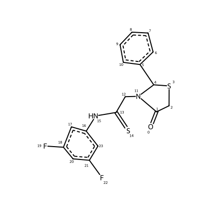 O=C1CSC(c2ccccc2)N1CC(=S)Nc1cc(F)cc(F)c1